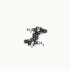 Cc1cc(C)cc(N(c2cccc(-c3cccc4c3sc3ccccc34)c2)c2ccc3ccc4c(N(c5cc(C)cc(C)c5)c5cccc(-c6cccc7c6sc6ccccc67)c5)ccc5ccc2c3c54)c1